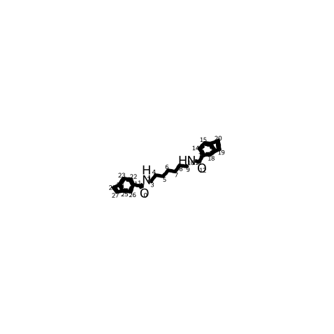 O=C(NCCCCCCCNC(=O)c1ccc2c(c1)C=C2)c1ccc2c(c1)C=C2